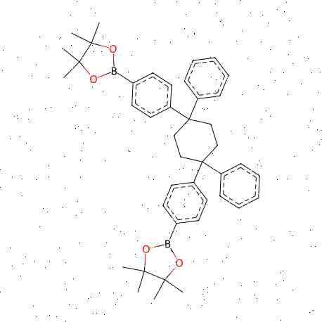 CC1(C)OB(c2ccc(C3(c4ccccc4)CCC(c4ccccc4)(c4ccc(B5OC(C)(C)C(C)(C)O5)cc4)CC3)cc2)OC1(C)C